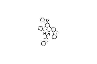 c1ccc(-c2nc(-c3ccc4ccccc4c3)nc(-c3c(-c4ccc5c(c4)oc4ccccc45)ccc4oc5ccccc5c34)n2)cc1